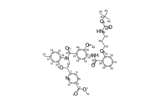 COC(=O)c1ccc(COc2cc(C)ccc2N(C)C(=O)c2ccc(NC(=O)c3ccccc3OCCCNC(=O)OC(C)(C)C)c(OC)c2)nc1